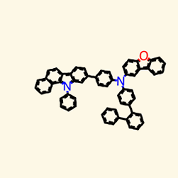 c1ccc(-c2ccccc2-c2ccc(N(c3ccc(-c4ccc5c6ccc7ccccc7c6n(-c6ccccc6)c5c4)cc3)c3ccc4oc5ccccc5c4c3)cc2)cc1